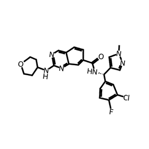 Cn1cc([C@@H](NC(=O)c2ccc3cnc(NC4CCOCC4)nc3c2)c2ccc(F)c(Cl)c2)cn1